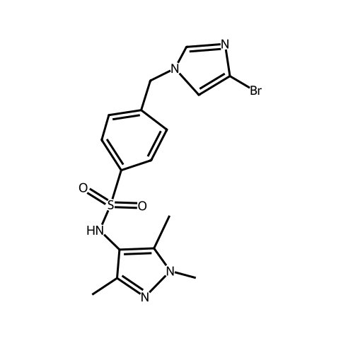 Cc1nn(C)c(C)c1NS(=O)(=O)c1ccc(Cn2cnc(Br)c2)cc1